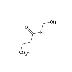 O=C(O)CCC(=O)NCO